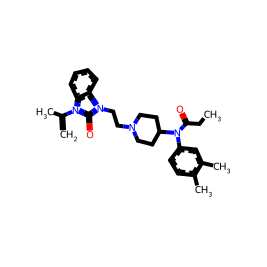 C=C(C)n1c(=O)n(CCN2CCC(N(C(=O)CC)c3ccc(C)c(C)c3)CC2)c2ccccc21